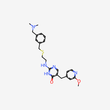 COc1cc(Cc2cnc(NCCSCc3cccc(CN(C)C)c3)[nH]c2=O)ccn1